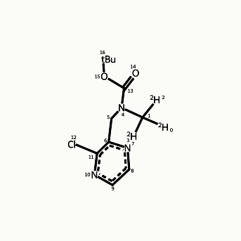 [2H]C([2H])([2H])N(Cc1nccnc1Cl)C(=O)OC(C)(C)C